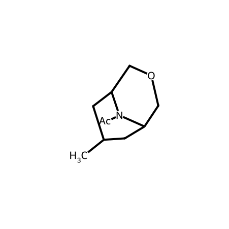 CC(=O)N1C2COCC1CC(C)C2